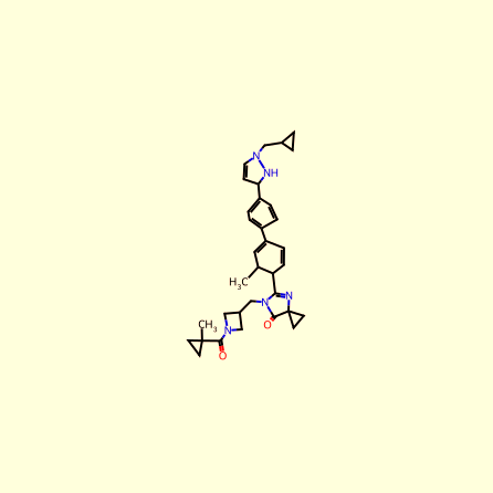 CC1C=C(c2ccc(C3C=CN(CC4CC4)N3)cc2)C=CC1C1=NC2(CC2)C(=O)N1CC1CN(C(=O)C2(C)CC2)C1